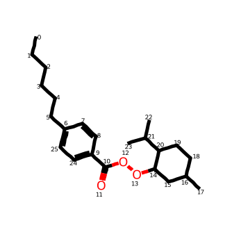 CCCCCCc1ccc(C(=O)OO[C]2CC(C)CCC2C(C)C)cc1